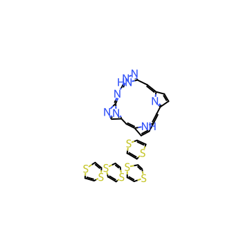 C1=CSC=CS1.C1=CSC=CS1.C1=CSC=CS1.C1=CSC=CS1.C1=Cc2cc3nnc(nc4nc(cc5ccc(cc1n2)[nH]5)C=N4)[nH]3